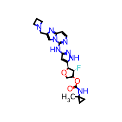 CC1(NC(=O)O[C@H]2CO[C@@H](c3cc(Nc4nccc5nc(CN6CCC6)cn45)n[nH]3)[C@@H]2F)CC1